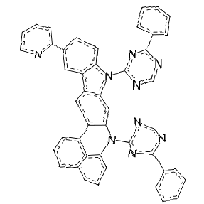 c1ccc(-c2ncnc(N3c4cc5c(cc4-c4cccc6cccc3c46)c3cc(-c4ccccn4)ccc3n5-c3ncnc(-c4ccccc4)n3)n2)cc1